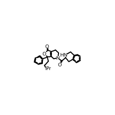 CC(C)CCC1(c2ccccc2)OC(=O)C2=C1CN(C(=O)C1Cc3ccccc3CN1)CC2